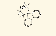 CC1(C)O[Si](C)(C)CC(c2ccccc2)(c2ccccc2)C1(C)C